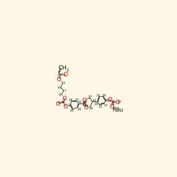 C=CC(=O)OCCCCOC(=O)Oc1ccc(B2OCC(c3ccc(OC(=O)OCCCC)cc3)CO2)cc1